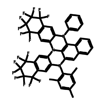 Cc1cc(C)c(B2c3cc4c(cc3N3c5cc6c(cc5B(c5ccccc5)c5c3c2cc2ccccc52)C(F)(F)C(F)(F)C(F)(F)C6(F)F)C(F)(F)C(F)(F)C(F)(F)C4(F)F)c(C)c1